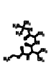 CCOC(=O)NC(C(=O)NC(C)C(=O)N[Si](C)(C)C)C(C)C